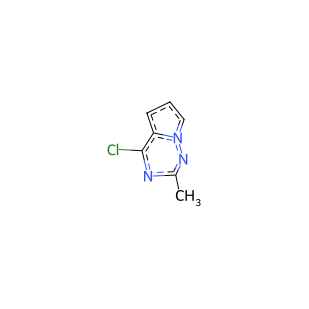 Cc1nc(Cl)c2cccn2n1